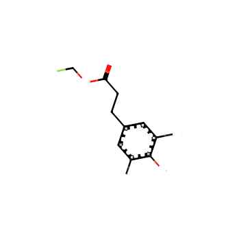 CC(C)(C)c1cc(CCC(=O)OCF)cc(C(C)(C)C)c1O